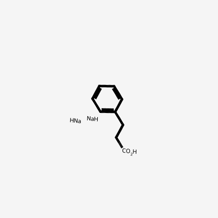 O=C(O)CCc1ccccc1.[NaH].[NaH]